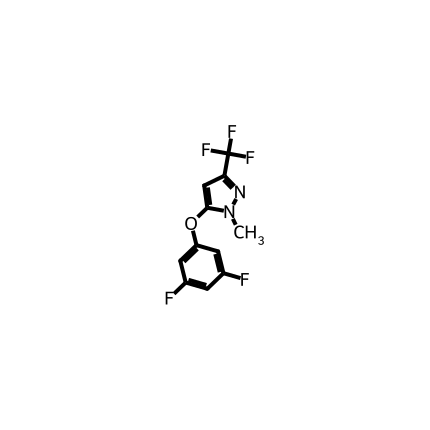 Cn1nc(C(F)(F)F)cc1Oc1cc(F)cc(F)c1